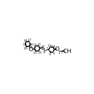 C#CCOc1ccc(CSc2ccc(Oc3ccccc3)cc2)cc1